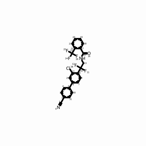 N#Cc1ccc(-c2ccc(C(F)(F)CNC(=O)c3ccccc3C(F)(F)F)c(Cl)c2)cc1